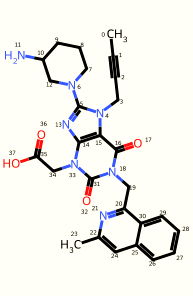 CC#CCn1c(N2CCCC(N)C2)nc2c1c(=O)n(Cc1nc(C)cc3ccccc13)c(=O)n2CC(=O)O